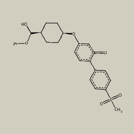 CC(C)OC(O)[C@H]1CC[C@@H](Oc2ccn(-c3ccc(S(C)(=O)=O)cc3)c(=O)c2)CC1